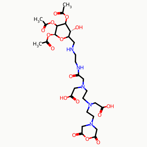 CC(=O)OC1C(OC(C)=O)[C@H](O)C(CNCCNC(=O)CN(CCN(CCN2CC(=O)OC(=O)C2)CC(=O)O)CC(=O)O)O[C@H]1OC(C)=O